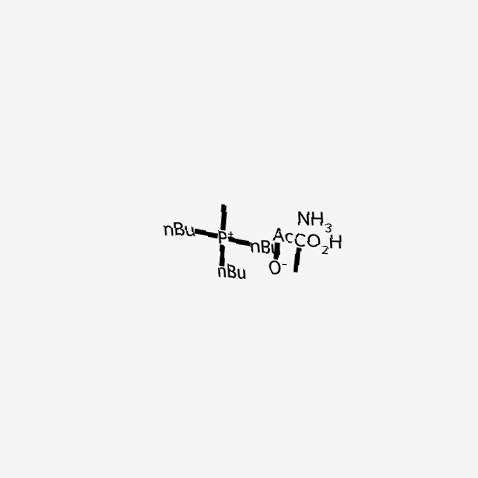 CC(=O)O.CC(=O)[O-].CCCC[P+](C)(CCCC)CCCC.N